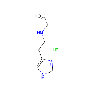 Cl.O=C(O)CNCCc1c[nH]cn1